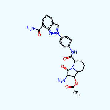 NC(=O)c1cccc2cn(-c3ccc(NC(=O)C4CCCC5C(OC(=O)C(F)(F)F)C(N)C(=O)N45)cc3)nc12